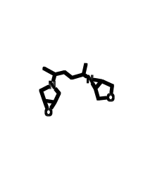 CC(CCC(C)N1C2COCC21)N1CC2OC2C1